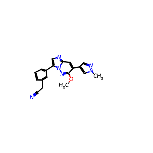 COc1nn2c(-c3cccc(CC#N)c3)cnc2cc1-c1cnn(C)c1